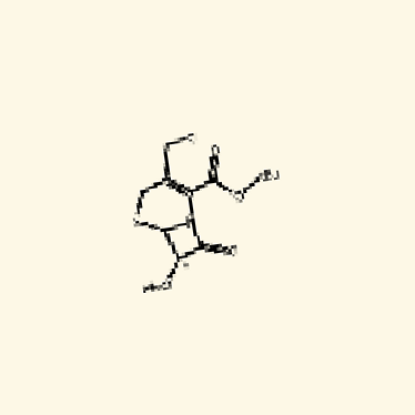 CO[C@@H]1C(=O)N2C(C(=O)OC(C)(C)C)=C(CCl)CSC12